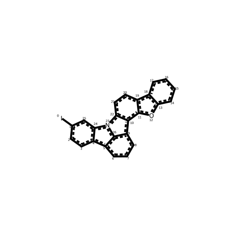 Ic1ccc2c3cccc4c5c6oc7ccccc7c6ccc5n(c2c1)c34